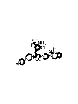 CN1CCC(N2CCCN(C(=O)[C@H](CC(=O)N3CCC(N4CCc5ccccc5NC4=O)CC3)Cc3cc(Cl)c(N)c(C(F)(F)F)c3)CC2)CC1